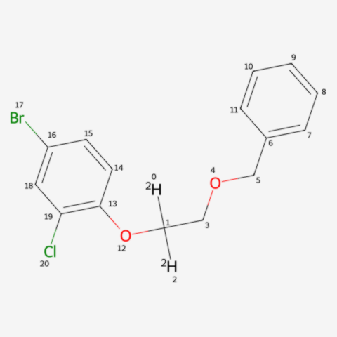 [2H]C([2H])(COCc1ccccc1)Oc1ccc(Br)cc1Cl